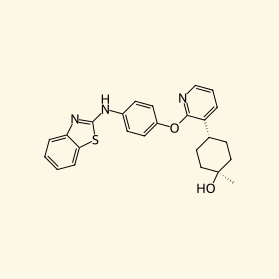 C[C@]1(O)CC[C@H](c2cccnc2Oc2ccc(Nc3nc4ccccc4s3)cc2)CC1